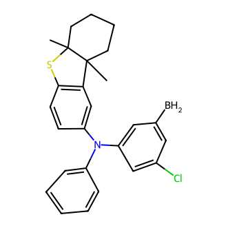 Bc1cc(Cl)cc(N(c2ccccc2)c2ccc3c(c2)C2(C)CCCCC2(C)S3)c1